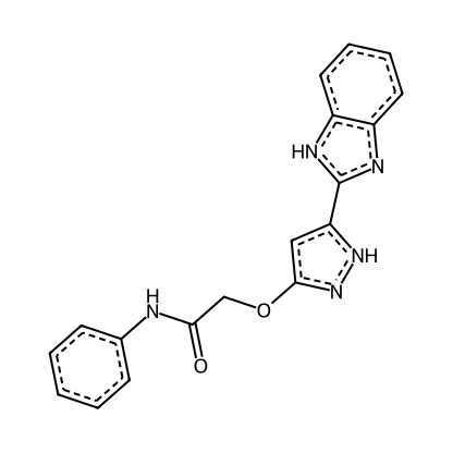 O=C(COc1cc(-c2nc3ccccc3[nH]2)[nH]n1)Nc1ccccc1